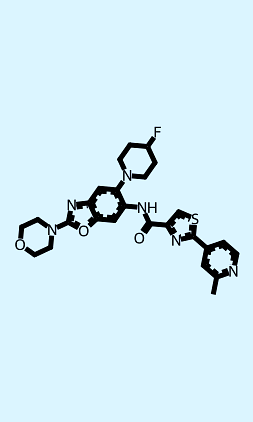 Cc1cc(-c2nc(C(=O)Nc3cc4oc(N5CCOCC5)nc4cc3N3CCC(F)CC3)cs2)ccn1